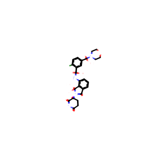 O=C1CCC(O)(N2C(=O)c3cccc(NC(O)(O)c4cc(C(O)(O)N5CCOCC5)ccc4F)c3C2(O)O)C(=O)N1